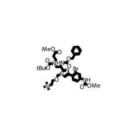 COC(=O)CCN(CC(NC(=O)OCc1ccccc1)c1nc(-c2ccc(NC(=O)OC)cc2Br)cn1COCC[Si](C)(C)C)C(=O)OC(C)(C)C